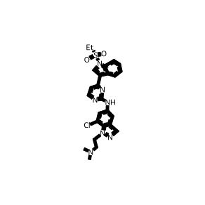 CCS(=O)(=O)n1cc(-c2ccnc(Nc3cc(Cl)c4c(cnn4CCN(C)C)c3)n2)c2ccccc21